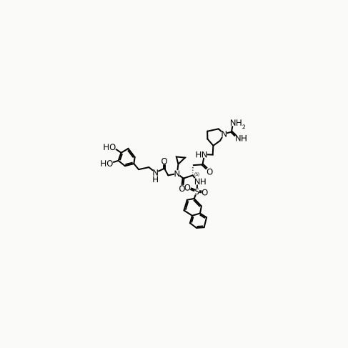 N=C(N)N1CCCC(CNC(=O)C[C@H](NS(=O)(=O)c2ccc3ccccc3c2)C(=O)N(CC(=O)NCCc2ccc(O)c(O)c2)C2CC2)C1